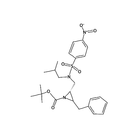 CC(C)CN(C[C@@H]1C(Cc2ccccc2)N1C(=O)OC(C)(C)C)S(=O)(=O)c1ccc([N+](=O)[O-])cc1